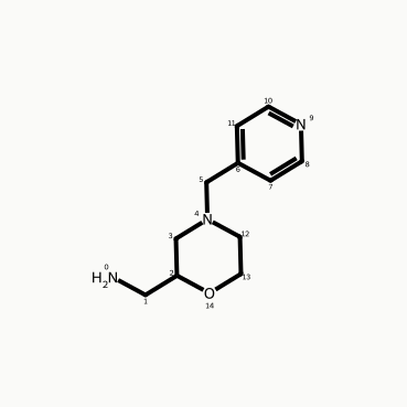 NCC1CN(Cc2ccncc2)CCO1